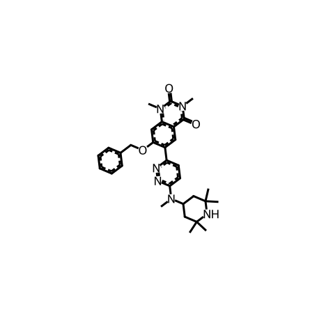 CN(c1ccc(-c2cc3c(=O)n(C)c(=O)n(C)c3cc2OCc2ccccc2)nn1)C1CC(C)(C)NC(C)(C)C1